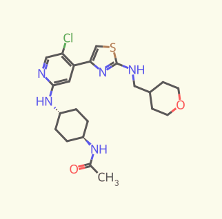 CC(=O)N[C@H]1CC[C@H](Nc2cc(-c3csc(NCC4CCOCC4)n3)c(Cl)cn2)CC1